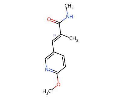 CNC(=O)/C(C)=C/c1ccc(OC)nc1